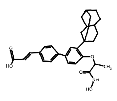 CC(Oc1ccc(-c2ccc(/C=C/C(=O)O)cc2)cc1C12CCC3CCC(CC3C1)C2)C(=O)NO